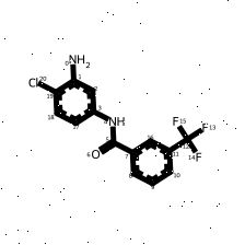 Nc1cc(NC(=O)c2cccc(C(F)(F)F)c2)ccc1Cl